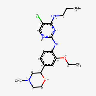 COCCNc1nc(Nc2ccc(C3CN(C=O)CCO3)cc2OCC(F)(F)F)ncc1Cl